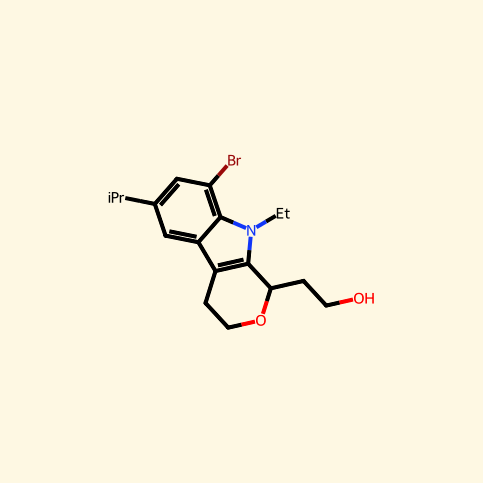 CCn1c2c(c3cc(C(C)C)cc(Br)c31)CCOC2CCO